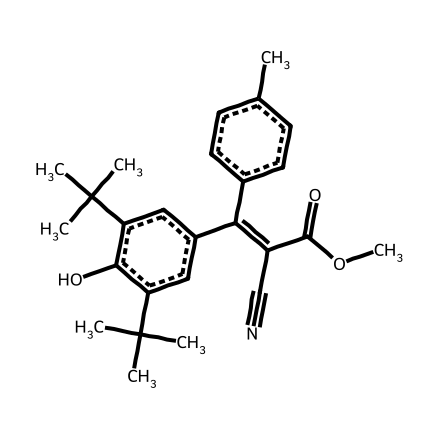 COC(=O)C(C#N)=C(c1ccc(C)cc1)c1cc(C(C)(C)C)c(O)c(C(C)(C)C)c1